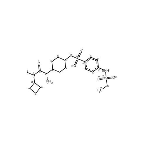 CN(C(=O)[C@@H](N)C1CCC(CS(=O)(=O)c2ccc(NS(=O)(=O)CC(F)(F)F)cc2)CC1)C1CCC1